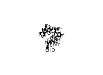 CCC[C@H](NC(=O)[C@@H]1C[C@@H](C)CN1C(=O)[C@@H](NC(=O)[C@@H](NC(=O)c1cnccn1)C(C)C)C(C)C)C(=O)C(F)(F)C(=O)NCC=O